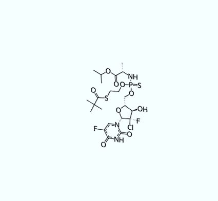 CC(C)OC(=O)[C@H](C)N[P@@](=S)(OCCSC(=O)C(C)(C)C)OC[C@H]1O[C@@H](n2cc(F)c(=O)[nH]c2=O)[C@](F)(Cl)[C@@H]1O